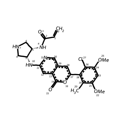 C=CC(=O)N[C@H]1CNC[C@H]1Nc1cc2c(=O)oc(-c3c(C)c(OC)cc(OC)c3Cl)cc2cn1